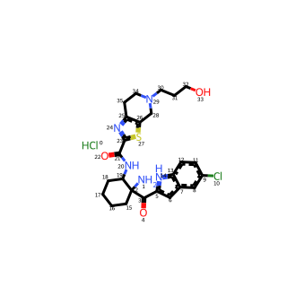 Cl.NC1(C(=O)c2cc3cc(Cl)ccc3[nH]2)CCCCC1NC(=O)c1nc2c(s1)CN(CCCO)CC2